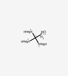 CCCCCCCC(P)(CCCCCCC)CCCCCCC.Cl